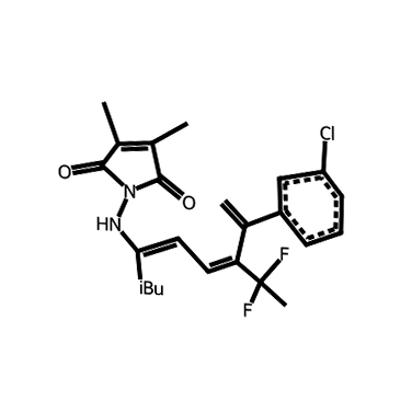 C=C(/C(=C\C=C(\NN1C(=O)C(C)=C(C)C1=O)C(C)CC)C(C)(F)F)c1cccc(Cl)c1